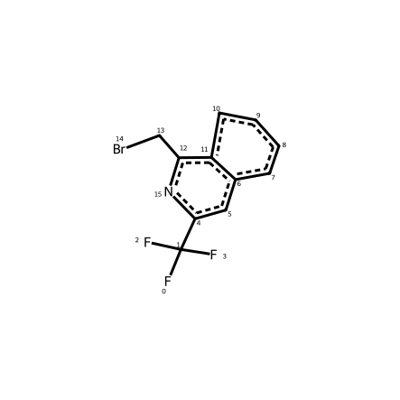 FC(F)(F)c1cc2ccccc2c(CBr)n1